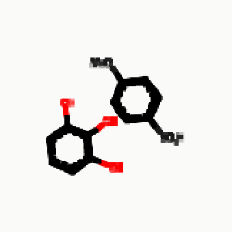 COc1ccc(S(=O)(=O)O)cc1.Oc1cccc(O)c1O